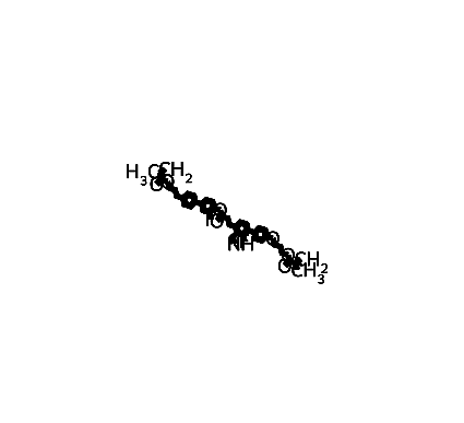 C=C(C)C(=O)OCCCOc1ccc(-c2ccc(CCC(=O)Oc3ccc(-c4ccc(CCCOC(=O)C(=C)C)cc4)cc3F)c(C=N)c2F)cc1